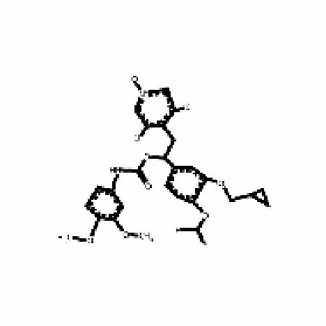 COc1ccc(NC(=O)OC(Cc2c(Cl)c[n+]([O-])cc2Cl)c2ccc(OC(F)F)c(OCC3CC3)c2)cc1OC